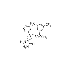 C[C@@H](OCC1(c2ccccc2)CC(N)(C(N)=O)C1)c1cc(C(F)(F)F)cc(C(F)(F)F)c1